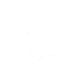 O=C1CCC(N2Cc3cc(OC4C5CN(Cc6ccccc6-c6ccc(Cl)cc6)CC54)ccc3C2=O)C(=O)N1